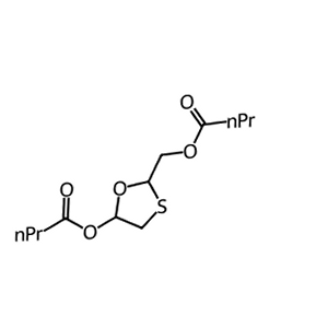 CCCC(=O)OCC1OC(OC(=O)CCC)CS1